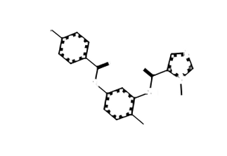 Cc1ccc(NC(=O)c2ccc(Cl)cc2)cc1NC(=O)c1cncn1C